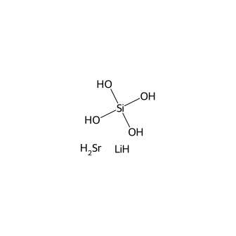 O[Si](O)(O)O.[LiH].[SrH2]